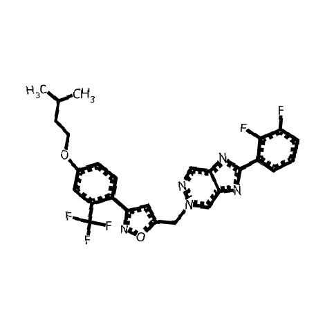 CC(C)CCOc1ccc(-c2cc(Cn3cc4nc(-c5cccc(F)c5F)nc-4cn3)on2)c(C(F)(F)F)c1